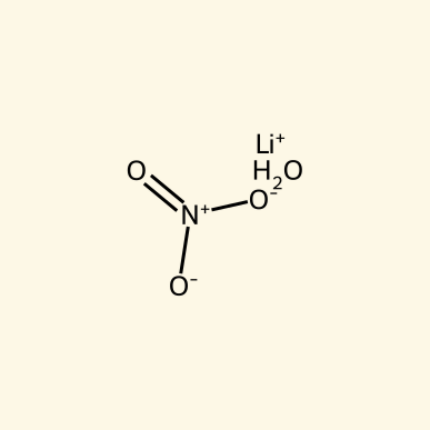 O.O=[N+]([O-])[O-].[Li+]